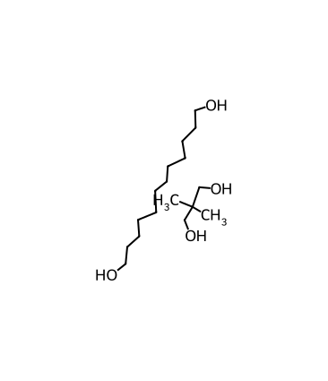 CC(C)(CO)CO.OCCCCCCCCCCCCO